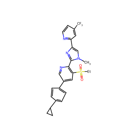 CCS(=O)(=O)c1cc(-c2ccc(C3CC3)cc2)cnc1-c1nc(-c2cc(C(F)(F)F)ccn2)cn1C